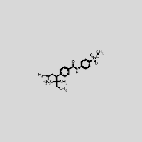 CCC(C)(C)C(CC(C)C)c1ccc(C(=O)Nc2ccc(S(=O)(=O)OC)cc2)cc1